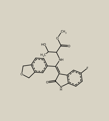 COC(=O)C(NC(=C1C(=O)Nc2ccc(F)cc21)c1ccc2c(c1)COC2)C(C)O